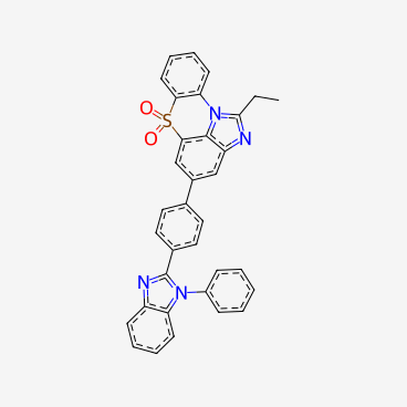 CCc1nc2cc(-c3ccc(-c4nc5ccccc5n4-c4ccccc4)cc3)cc3c2n1-c1ccccc1S3(=O)=O